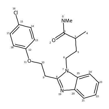 CNC(=O)C(C)CCn1c(CCOc2ccc(Cl)cc2)nc2ccccc21